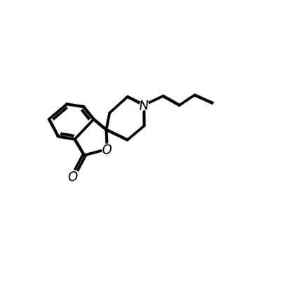 CCCCN1CCC2(CC1)OC(=O)c1ccccc12